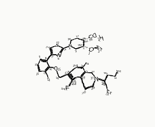 CCO[C@@H]1CN(c2nc(-c3cccc(C)c3OCc3cc(C)c4c(c3F)CCN(C(CC)CCI)C4)cs2)CC[C@@H]1C(=O)O